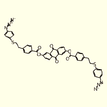 [N-]=[N+]=Nc1ccc(SCCc2ccc(C(=O)Oc3ccc4c(c3)C(=O)c3ccc(OC(=O)c5ccc(CCSc6ccc(N=[N+]=[N-])cc6)cc5)cc3C4=O)cc2)cc1